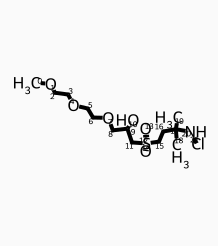 COCCOCCOCC(O)CS(=O)(=O)CCC(C)(C)NCl